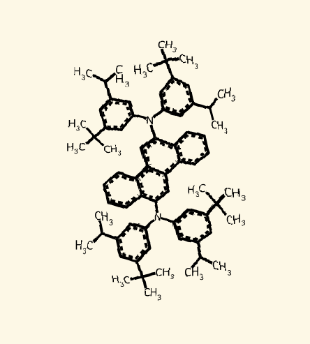 CC(C)c1cc(N(c2cc(C(C)C)cc(C(C)(C)C)c2)c2cc3c4ccccc4c(N(c4cc(C(C)C)cc(C(C)(C)C)c4)c4cc(C(C)C)cc(C(C)(C)C)c4)cc3c3ccccc23)cc(C(C)(C)C)c1